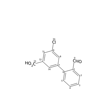 O=Cc1ccccc1-c1cc(Cl)cc(C(=O)O)c1